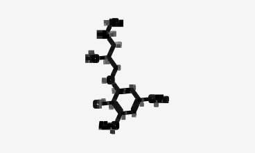 COc1cc(OC)c(Cl)c(OCC(O)CNC(C)(C)C)c1